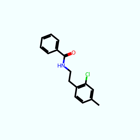 Cc1ccc(CCNC(=O)c2ccccc2)c(Cl)c1